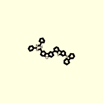 c1ccc(-c2nc(-c3ccccc3)nc(-c3ccc4oc5ccc(-c6cccc7c6sc6cc(-n8c9ccccc9c9ccccc98)ccc67)cc5c4c3)n2)cc1